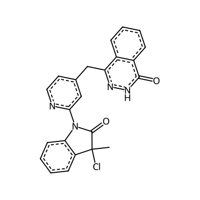 CC1(Cl)C(=O)N(c2cc(Cc3n[nH]c(=O)c4ccccc34)ccn2)c2ccccc21